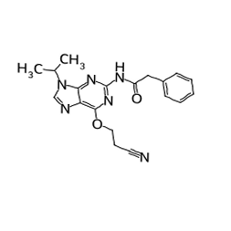 CC(C)n1cnc2c(OCCC#N)nc(NC(=O)Cc3ccccc3)nc21